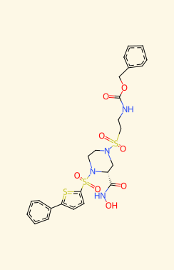 O=C(NCCS(=O)(=O)N1CCN(S(=O)(=O)c2ccc(-c3ccccc3)s2)[C@@H](C(=O)NO)C1)OCc1ccccc1